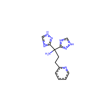 NC(CCc1ccccn1)(c1nc[nH]n1)c1nc[nH]n1